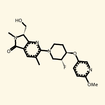 COc1ccc(O[C@@H]2CCN(c3nc4c(cc3C)C(=O)N(C)[C@@H]4CO)C[C@H]2F)cn1